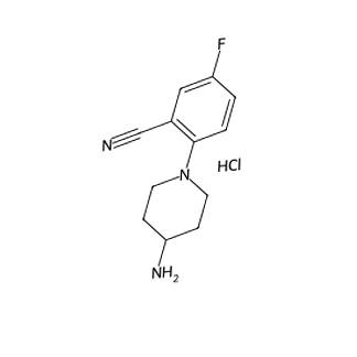 Cl.N#Cc1cc(F)ccc1N1CCC(N)CC1